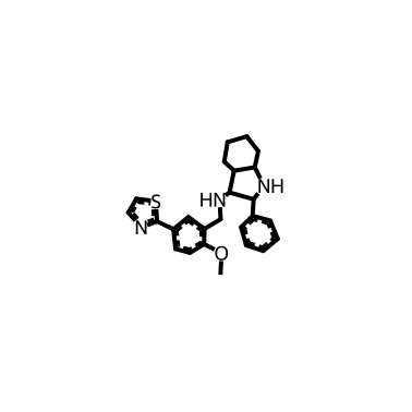 COc1ccc(-c2nccs2)cc1CNC1C(c2ccccc2)NC2CCCCC21